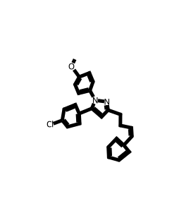 COc1ccc(-n2nc(CC/C=C\c3ccccc3)cc2-c2ccc(Cl)cc2)cc1